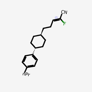 CCCc1ccc([C@H]2CC[C@H](CC/C=C(\F)C#N)CC2)cc1